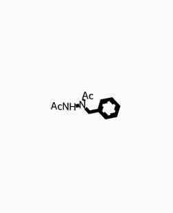 CC(=O)NN(Cc1ccccc1)C(C)=O